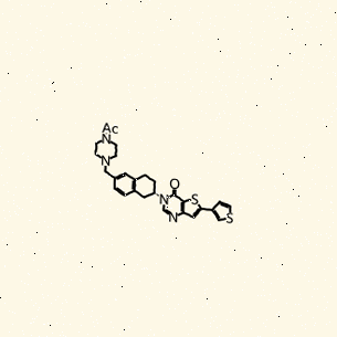 CC(=O)N1CCN(Cc2ccc3c(c2)CC[C@H](n2cnc4cc(-c5ccsc5)sc4c2=O)C3)CC1